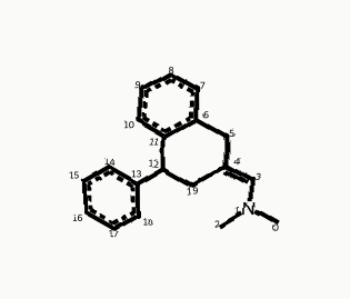 CN(C)/C=C1/Cc2ccccc2C(c2ccccc2)C1